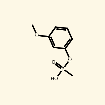 COc1cccc(OP(C)(=O)O)c1